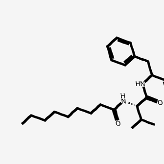 CCCCCCCCC(=O)N[C@H](C(=O)NC(C=O)Cc1ccccc1)C(C)C